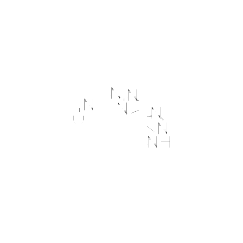 CCCNc1cc(-c2cnc(N(C)C3CCN(C(C)=O)CC3)nc2)ncn1